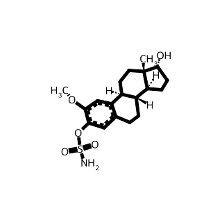 COc1cc2c(cc1OS(N)(=O)=O)CC[C@@H]1[C@@H]2CC[C@]2(C)[C@H](O)CC[C@@H]12